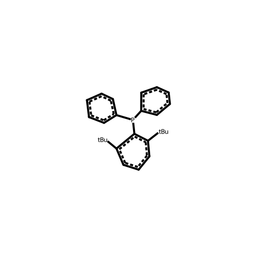 CC(C)(C)c1cccc(C(C)(C)C)c1P(c1ccccc1)c1ccccc1